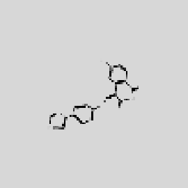 O=C1NC(=O)c2ccc(Br)cc2C1=CNc1ccc(-c2c[nH]cn2)cc1